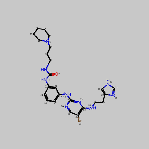 O=C(NCCCN1CCCCC1)Nc1cccc(Nc2ncc(Br)c(NCCc3c[nH]cn3)n2)c1